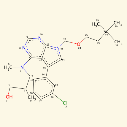 CC(CO)CN(C)c1ncnc2c1c(-c1cccc(Cl)c1)cn2COCC[Si](C)(C)C